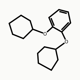 c1ccc(OC2CCCCC2)c(OC2CCCCC2)c1